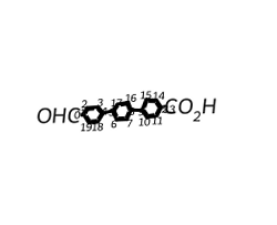 O=Cc1ccc(-c2ccc(-c3ccc(C(=O)O)cc3)cc2)cc1